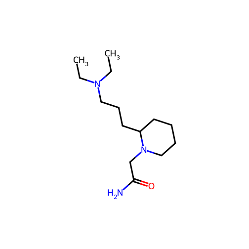 CCN(CC)CCCC1CCCCN1CC(N)=O